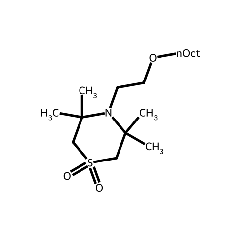 CCCCCCCCOCCN1C(C)(C)CS(=O)(=O)CC1(C)C